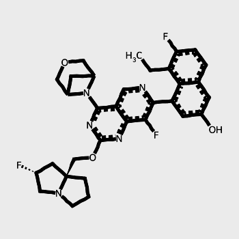 CCc1c(F)ccc2cc(O)cc(-c3ncc4c(N5C6COCC5C6)nc(OC[C@@]56CCCN5C[C@H](F)C6)nc4c3F)c12